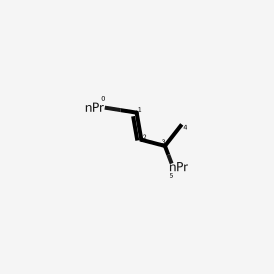 CCCC=CC(C)CCC